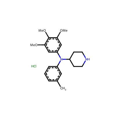 COc1cc(N(c2cccc(C)c2)C2CCNCC2)cc(OC)c1OC.Cl